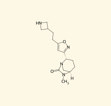 CN1C(=O)N2C[C@H]1CC[C@H]2c1cc(CCC2CNC2)on1